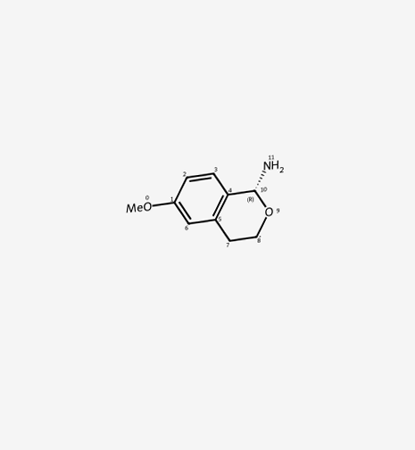 COc1ccc2c(c1)C[CH]O[C@H]2N